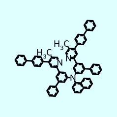 Cc1cnc(-c2cc(-c3ccccc3)cc(N(c3cc(-c4ccccc4)cc(-c4cc(-c5ccc(-c6ccccc6)cc5)c(C)cn4)c3)c3cccc4ccccc34)c2)cc1-c1ccc(-c2ccccc2)cc1